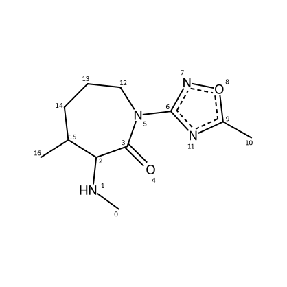 CNC1C(=O)N(c2noc(C)n2)CCCC1C